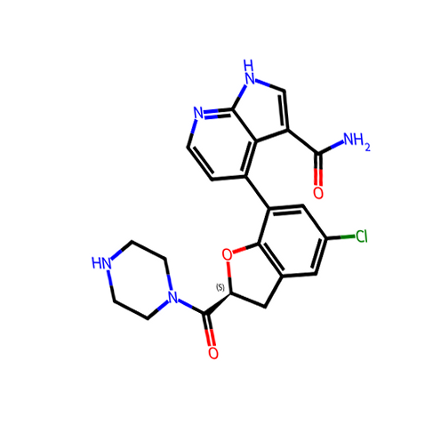 NC(=O)c1c[nH]c2nccc(-c3cc(Cl)cc4c3O[C@H](C(=O)N3CCNCC3)C4)c12